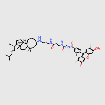 Cc1cc(C(=O)NCC(=O)NCCC(=O)NCCCN[C@@H]2CCC[C@@H]3C(CCC4(C)C([C@H](C)CCCC(C)C)CC[C@@H]34)C(C)(C)CC2)ccc1-c1c2cc(F)c(=O)cc-2oc2cc(O)c(F)cc12